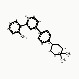 Cc1ccccc1-c1cc(-c2ccc(C3CCC(C)(C)CC3)cc2)ccn1